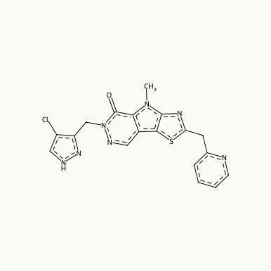 Cn1c2nc(Cc3ccccn3)sc2c2cnn(Cc3n[nH]cc3Cl)c(=O)c21